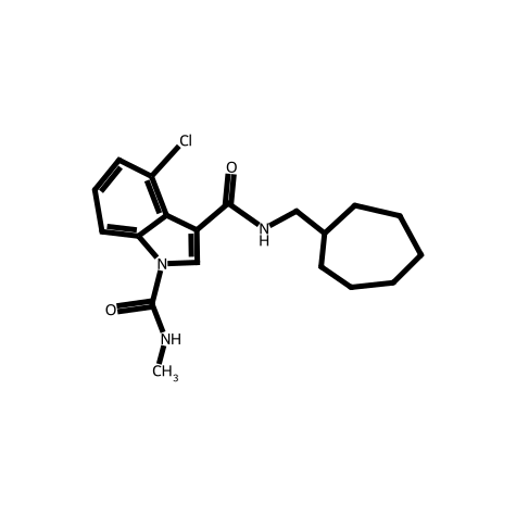 CNC(=O)n1cc(C(=O)NCC2CCCCCC2)c2c(Cl)cccc21